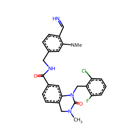 CNc1cc(CNC(=O)c2ccc3c(c2)N(Cc2c(F)cccc2Cl)C(=O)N(C)C3)ccc1C=N